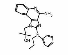 CCCN(c1ccccc1)c1nc2c(N)nc3ccccc3c2n1CC(C)(C)O